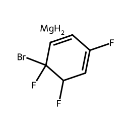 FC1=CC(F)C(F)(Br)C=C1.[MgH2]